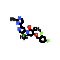 Cc1c(OCc2ccc(F)cc2F)cc(C)n(-c2cc(-c3ccnc(C(C)C)n3)ncc2Cl)c1=O